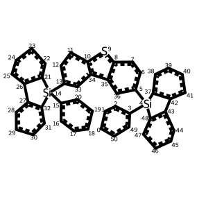 c1ccc([Si]2(c3ccc4sc5ccc([Si]6(c7ccccc7)c7ccccc7-c7ccccc76)cc5c4c3)c3ccccc3-c3ccccc32)cc1